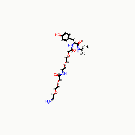 CC(=O)[C@@H](C)NC(=O)[C@H](Cc1ccc(O)cc1)NC(=O)COCCOCCNC(=O)COCCOCCN